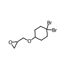 BrC1(Br)CCC(OCC2CO2)CC1